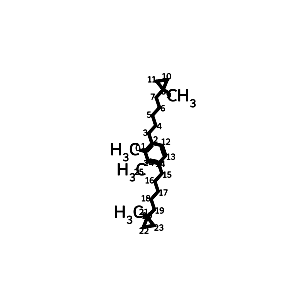 Cc1c(CCCCCC2(C)CC2)ccc(CCCCCC2(C)CC2)c1C